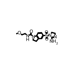 COCCNC(=O)N1CCc2cc(S(=O)(=O)N3CCN=C3N)ccc21